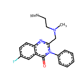 CNCCN(C)Cc1nc2ccc(F)cc2c(=O)n1-c1ccccc1